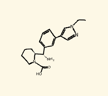 CCn1cc(-c2cccc([C@H](N)[C@@H]3CCCCN3C(=O)O)c2)cn1